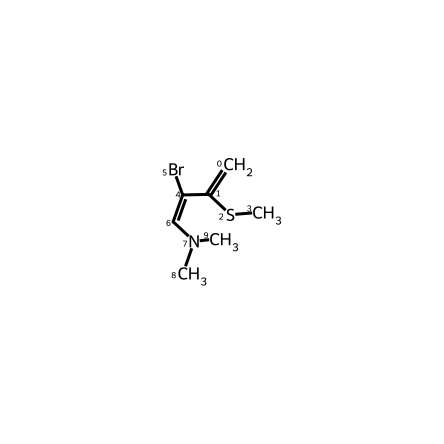 C=C(SC)/C(Br)=C\N(C)C